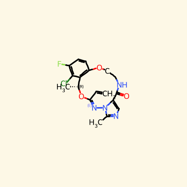 C=C/C1=N\n2c(cnc2C)C(=O)NCCOc2ccc(F)c(Cl)c2[C@@H](C)O1